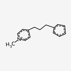 C[n+]1ccc(CCCc2ccccc2)cc1